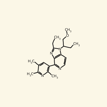 CCc1nc2c(-c3cc(C)c(C)nc3C)nccc2n1C(CC)COC